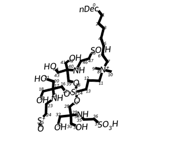 CCCCCCCCCCCCCCCCC[N+](C)(C)CCC[Si](OCC(CO)(CO)NCC[S+]=O)(OCC(CO)(CO)NCCS(=O)(=O)O)OCC(CO)(CO)NCCS(=O)(=O)O